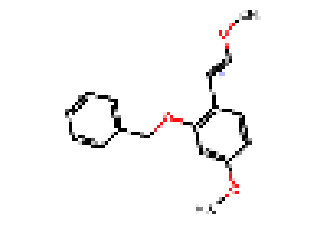 CO/C=C/c1ccc(OC)cc1OCc1ccccc1